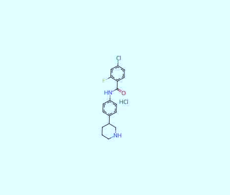 Cl.O=C(Nc1ccc(C2CCCNC2)cc1)c1ccc(Cl)cc1F